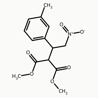 COC(=O)C(C(=O)OC)C(C[N+](=O)[O-])c1cccc(C)c1